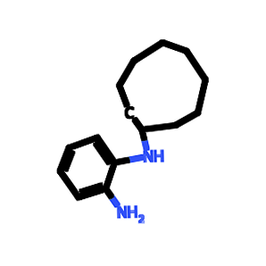 Nc1ccccc1NC1CCCCCCCC1